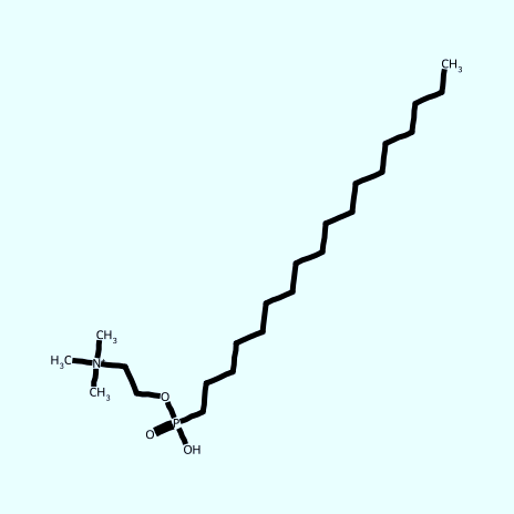 CCCCCCCCCCCCCCCCCCP(=O)(O)OCC[N+](C)(C)C